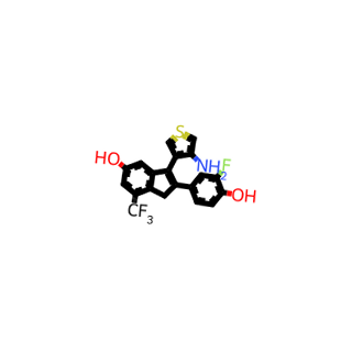 Nc1cscc1C1=C(c2ccc(O)c(F)c2)Cc2c1cc(O)cc2C(F)(F)F